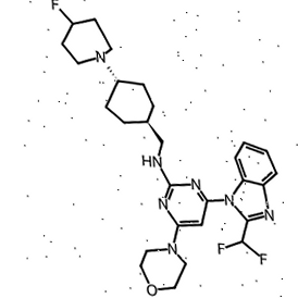 FC1CCN([C@H]2CC[C@H](CNc3nc(N4CCOCC4)cc(-n4c(C(F)F)nc5ccccc54)n3)CC2)CC1